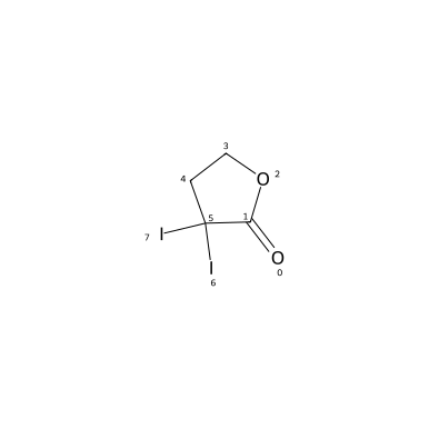 O=C1OCCC1(I)I